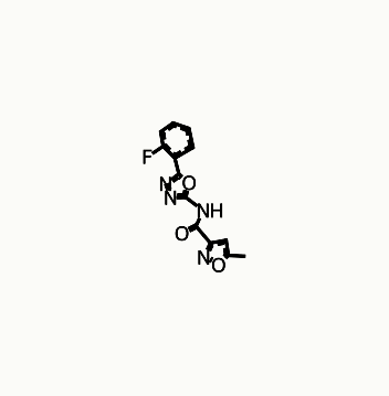 Cc1cc(C(=O)Nc2nnc(-c3ccccc3F)o2)no1